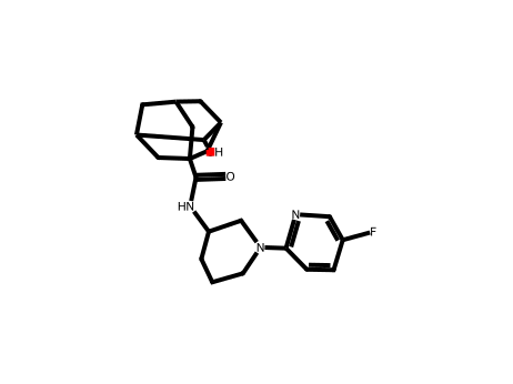 O=C(NC1CCCN(c2ccc(F)cn2)C1)C12CC3CC(C1)C(O)C(C3)C2